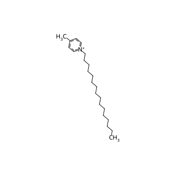 CCCCCCCCCCCCCCCC[n+]1ccc(C)cc1